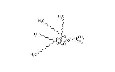 CCCCCCCCCCC(CCCCCCCC)C(=O)O[C@@H]1[C@@H](OC(=O)C(CCCCCCCC)CCCCCCCCCC)CO[C@@H]1COCCCN(C)C